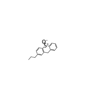 CCCc1ccc2c(c1)Cc1ccccc1[S+]2[O-]